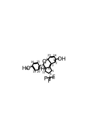 OC1=CC2=C3C[C@H](C(F)(F)F)C[C@@H]3[C@H](c3ccc(O)cc3)OC2C=C1